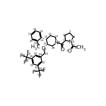 CC(=O)N1CCCC1C(=O)N1CC[C@@H](c2ccccc2C)[C@@H](OCc2cc(C(F)(F)F)cc(C(F)(F)F)c2)C1